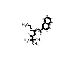 CCO/C(CC(=O)C(C)(C)C)=N/C(=O)c1ccc2ccccc2c1